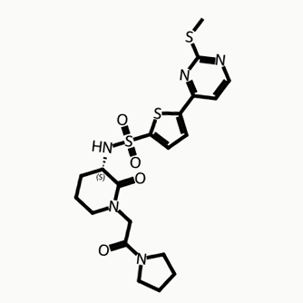 CSc1nccc(-c2ccc(S(=O)(=O)N[C@H]3CCCN(CC(=O)N4CCCC4)C3=O)s2)n1